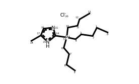 CCCCC[P+](CCCC)(CCCC)c1ncc(C)[nH]1.[Cl-]